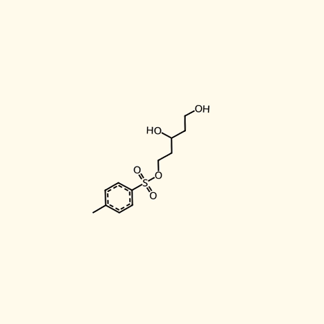 Cc1ccc(S(=O)(=O)OCCC(O)CCO)cc1